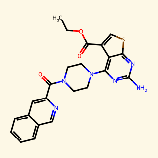 CCOC(=O)c1csc2nc(N)nc(N3CCN(C(=O)c4cc5ccccc5cn4)CC3)c12